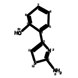 Nc1nc(-c2ccccc2O)cs1